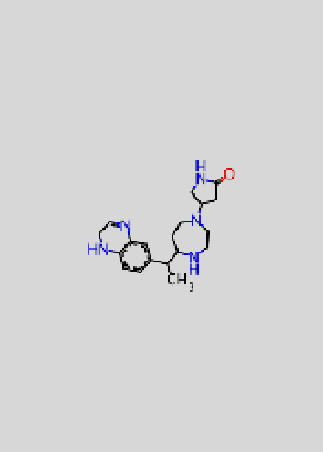 CC(c1ccc2c(c1)N=CCN2)C1CCN(C2CNC(=O)C2)CCN1